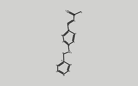 CC(=O)/C=C/c1ccc(OCc2ccccc2)cc1